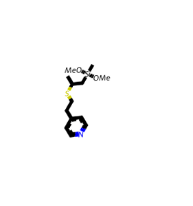 CO[Si](C)(CC(C)SCCc1ccncc1)OC